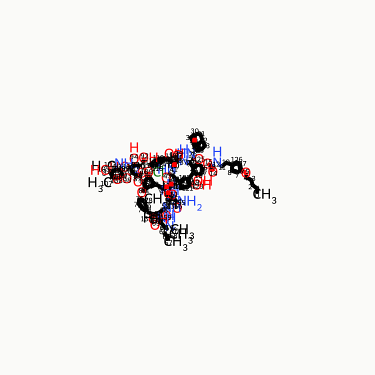 CCCCCOc1ccc(CCNC(=O)Oc2cc(O)c3c(c2)[C@@H](C(=O)NC2C4CC5CC(C4)CC2C5)NC(=O)[C@H]2NC(=O)[C@H](NC(=O)[C@@H]4NC(=O)[C@H](CC(N)=O)NC(=O)[C@H](NC(=O)[C@@H](CC(C)C)NC)[C@H](O)c5ccc(c(C)c5)Oc5cc4cc(c5O[C@@H]4O[C@H](CO)[C@@H](O)[C@H](O)[C@H]4O[C@H]4C[C@](C)(N)[C@H](O)[C@H](C)O4)Oc4ccc(cc4Cl)[C@H]2O)c2ccc(O)c-3c2)cc1